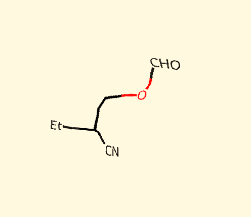 CCC(C#N)COC=O